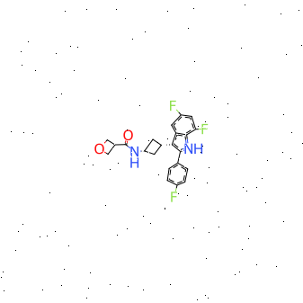 O=C(N[C@H]1C[C@@H](c2c(-c3ccc(F)cc3)[nH]c3c(F)cc(F)cc32)C1)C1COC1